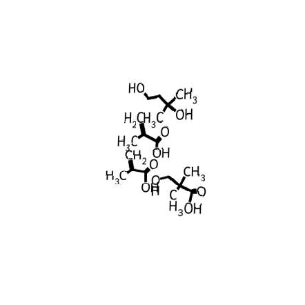 C=C(C)C(=O)O.C=C(C)C(=O)O.CC(C)(CO)C(=O)O.CC(C)(O)CCO